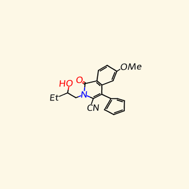 CCC(O)Cn1c(C#N)c(-c2ccccc2)c2cc(OC)ccc2c1=O